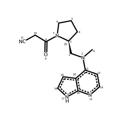 CN(C[C@@H]1CCCN1C(=O)CC#N)c1ccnc2[nH]ccc12